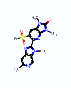 CCS(=O)(=O)c1cc2c(nc1-c1nc3cc(C(F)(F)F)ncc3n1C)n(C)c(=O)n2C